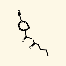 CCCCC(=O)SC(=O)c1ccc(C#N)cc1